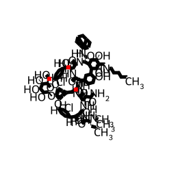 CCCCCCNCC1[C@H](O)C2C3C[C@H](CC[C@H]3O)[C@H]3NC(=O)[C@@H]4NC(=O)[C@H](CC(N)=O)NC(=O)[C@H](NC(=O)[C@@H](CC(C)C)NC)[C@H](O)[C@H]5CC[C@@H](Oc6cc4cc(c6O[C@@H]4O[C@H](CO)[C@@H](O)[C@H](O)[C@H]4O)O[C@@H]4CC[C@@H](C[C@@H]4Cl)[C@@H](O)[C@H](NC3=O)C(=O)N[C@H](C(=O)NC3C4CC6CC(C4)CC3C6)C2C[C@@H]1O)[C@H](Cl)C5